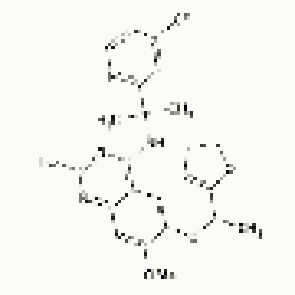 COc1cc2nc(C)nc(NC(C)(C)c3cc(C(F)(F)F)ccn3)c2cc1OC(C)C1=CCCO1